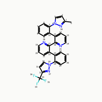 Cc1ccn(-c2ccccc2-c2cccnc2-c2ncccc2-c2ccccc2-n2ccc(C(F)(F)F)n2)n1